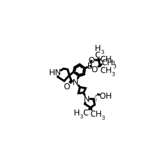 CC1(C)C[C@@H](CO)N(C2CC(N3C(=O)C4(CCNCC4)c4ccc(B5OC(C)(C)C(C)(C)O5)cc43)C2)C1